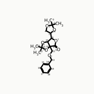 CC1(C)OCC(C2OC(=O)C3(COCc4ccccc4)OC(C)(C)OC23)O1